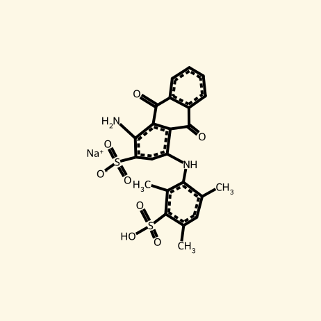 Cc1cc(C)c(S(=O)(=O)O)c(C)c1Nc1cc(S(=O)(=O)[O-])c(N)c2c1C(=O)c1ccccc1C2=O.[Na+]